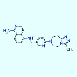 Cc1nnc2n1CCN(c1ccc(CNc3cccc4c(N)nccc34)cn1)CC2